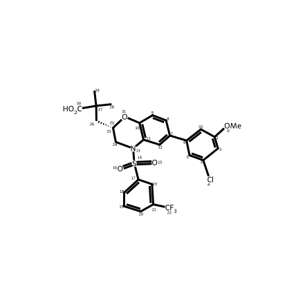 COc1cc(Cl)cc(-c2ccc3c(c2)N(S(=O)(=O)c2cccc(C(F)(F)F)c2)C[C@H](CC(C)(C)C(=O)O)O3)c1